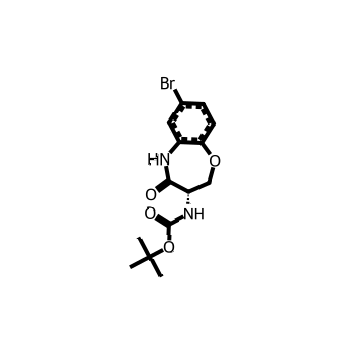 CC(C)(C)OC(=O)N[C@H]1COc2ccc(Br)cc2NC1=O